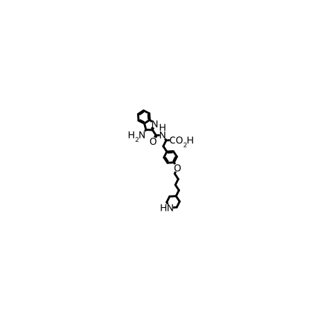 NC1C(C(=O)NC(Cc2ccc(OCCCCC3CCNCC3)cc2)C(=O)O)=Nc2ccccc21